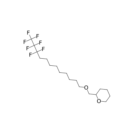 FC(F)(F)C(F)(F)C(F)(F)CCCCCCCCCOCC1CCCCO1